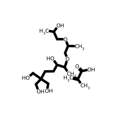 C=C(C)C(=O)O.CC(O)COC(C)COC(C)C(O)CCC(CO)(CO)CO